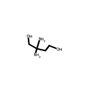 BC(B)(CO)CCO